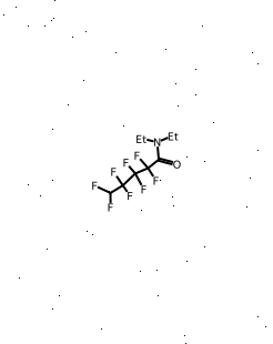 CCN(CC)C(=O)C(F)(F)C(F)(F)C(F)(F)C(F)F